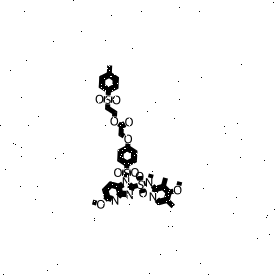 COc1ccc2c(n1)nc(S(=O)(=O)N(C)c1ncc(C)c(OC)c1C)n2S(=O)(=O)c1ccc(OCC(=O)OCCS(=O)(=O)c2ccc(C)cc2)cc1